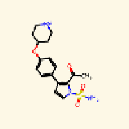 CC(=O)c1c(-c2ccc(OC3CCNCC3)cc2)ccn1S(N)(=O)=O